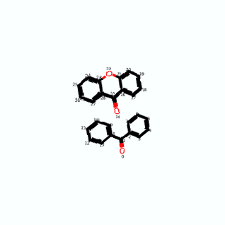 O=C(c1ccccc1)c1ccccc1.O=c1c2ccccc2oc2ccccc12